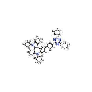 C1=CC(c2nc(-c3ccccc3)nc(-c3ccc(-c4ccc5c(c4)-c4c(n(-c6ccccc6)c6ccccc46)-c4ccccc4N5c4ccccc4)cc3)n2)=CCC1